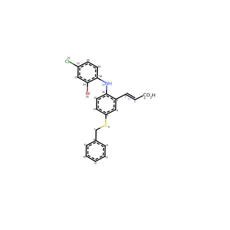 O=C(O)/C=C/c1cc(SCc2ccccc2)ccc1Nc1ccc(Cl)cc1Br